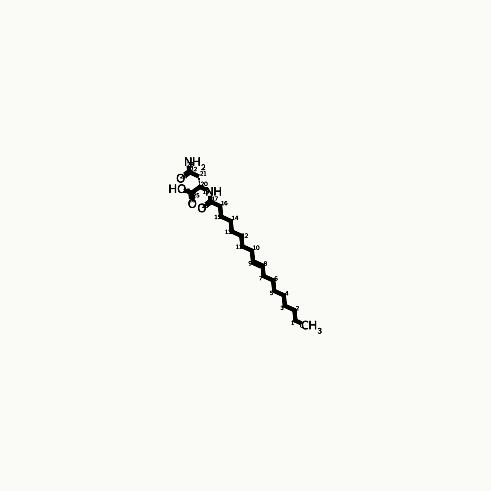 CCCCCCCCC=CCCCCCCCC(=O)N[C@@H](CC(N)=O)C(=O)O